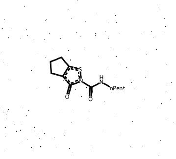 CCCCCNC(=O)n1sc2c(c1=O)CCC2